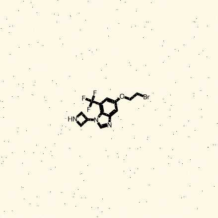 FC(F)(F)c1cc(OCCBr)cc2ncn(C3CNC3)c12